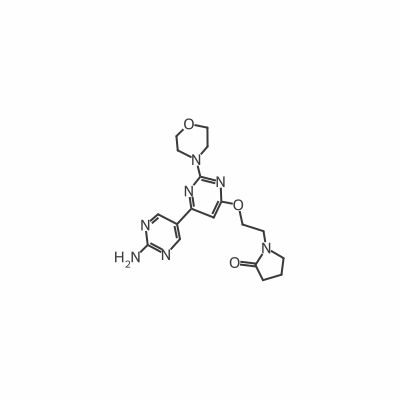 Nc1ncc(-c2cc(OCCN3CCCC3=O)nc(N3CCOCC3)n2)cn1